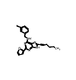 CCCCC#Cc1nc2c(NCc3cccc(I)c3)nc(-c3ccco3)nc2[nH]1